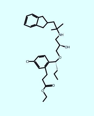 CCC[C@@H](OC[C@H](O)CNC(C)(C)CC1Cc2ccccc2C1)c1ccc(Cl)cc1CCC(=O)OCC